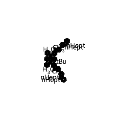 CCCCCCCC1(CCCCCCC)c2ccccc2-c2ccc(-c3ccc4c(c3)C(C)(C)c3cc(N(c5ccccc5)c5c6ccccc6c(N(c6ccccc6)c6ccc7c(c6)C(C)(C)c6cc(-c8ccc9c(c8)C(CCCCCCC)(CCCCCCC)c8ccccc8-9)ccc6-7)c6cc(C(C)(C)C)ccc56)ccc3-4)cc21